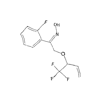 C=CC(OC/C(=N/O)c1ccccc1F)C(F)(F)F